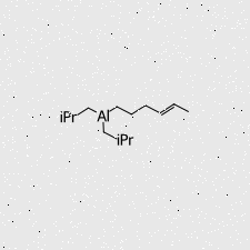 CC=CCC[CH2][Al]([CH2]C(C)C)[CH2]C(C)C